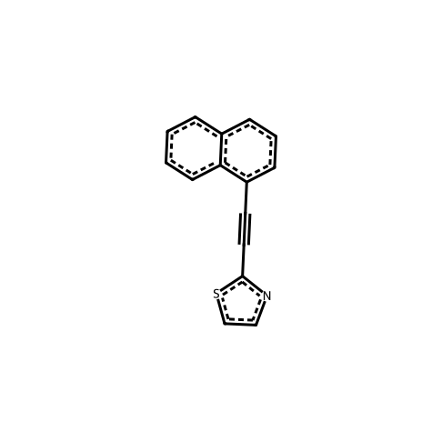 C(#Cc1cccc2ccccc12)c1nccs1